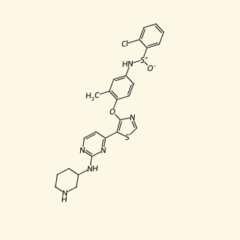 Cc1cc(N[S+]([O-])c2ccccc2Cl)ccc1Oc1ncsc1-c1ccnc(NC2CCCNC2)n1